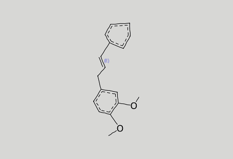 COc1ccc(C/C=C/c2ccccc2)cc1OC